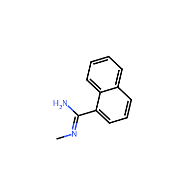 C/N=C(\N)c1cccc2ccccc12